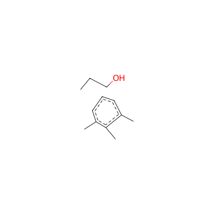 CCCO.Cc1cccc(C)c1C